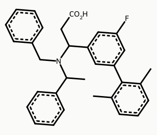 Cc1cccc(C)c1-c1cc(F)cc(C(CC(=O)O)N(Cc2ccccc2)C(C)c2ccccc2)c1